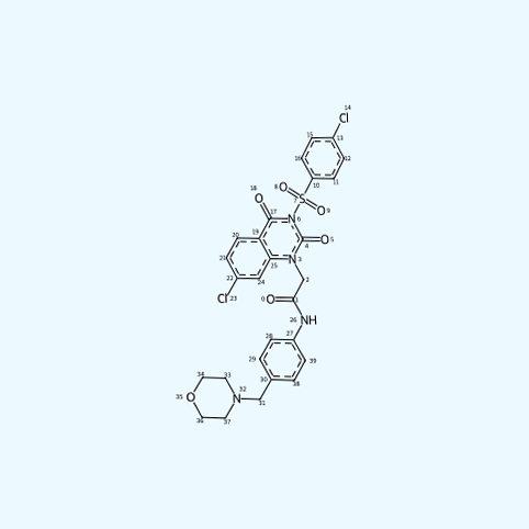 O=C(Cn1c(=O)n(S(=O)(=O)c2ccc(Cl)cc2)c(=O)c2ccc(Cl)cc21)Nc1ccc(CN2CCOCC2)cc1